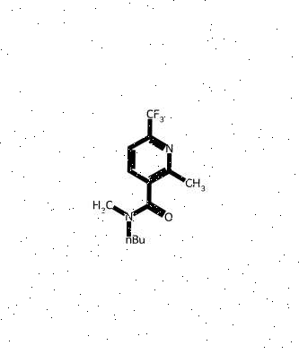 CCCCN(C)C(=O)c1ccc(C(F)(F)F)nc1C